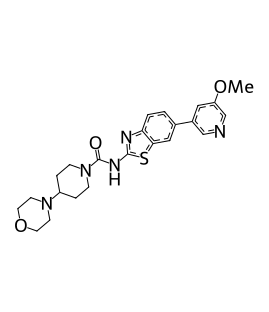 COc1cncc(-c2ccc3nc(NC(=O)N4CCC(N5CCOCC5)CC4)sc3c2)c1